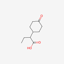 CCC(C(=O)O)C1CCC(=O)CC1